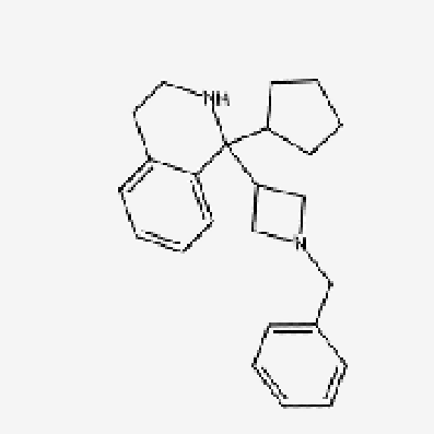 c1ccc(CN2CC(C3(C4CCCC4)NCCc4ccccc43)C2)cc1